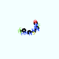 Fc1cnc(-c2csc(-c3ccc(Nc4cccc(C(F)(F)F)c4)cn3)n2)nc1N1CCOCC1